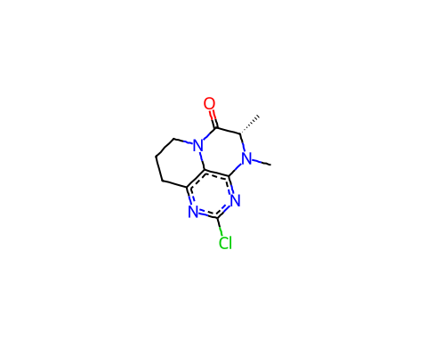 C[C@H]1C(=O)N2CCCc3nc(Cl)nc(c32)N1C